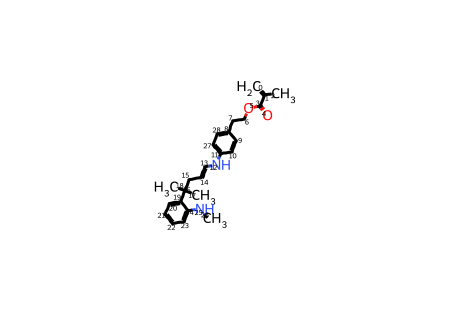 C=C(C)C(=O)OCCc1ccc(N/C=C/CC(C)(C)c2ccccc2NC)cc1